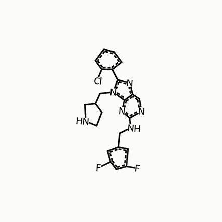 Fc1cc(F)cc(CNc2ncc3nc(-c4ccccc4Cl)n(CC4CCNC4)c3n2)c1